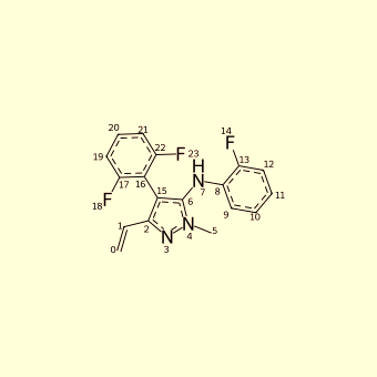 C=Cc1nn(C)c(Nc2ccccc2F)c1-c1c(F)cccc1F